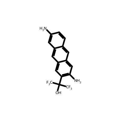 Nc1ccc2cc3cc(N)c(C(O)(C(F)(F)F)C(F)(F)F)cc3cc2c1